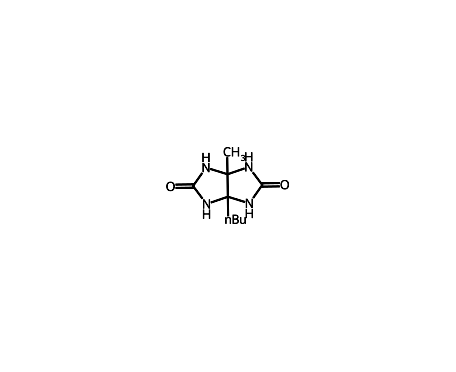 CCCCC12NC(=O)NC1(C)NC(=O)N2